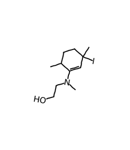 CC1CCC(C)(I)C=C1N(C)CCO